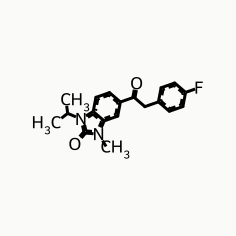 CC(C)n1c(=O)n(C)c2cc(C(=O)Cc3ccc(F)cc3)ccc21